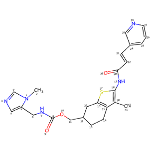 Cn1cncc1CNC(=O)OCC1CCc2c(sc(NC(=O)/C=C/c3cccnc3)c2C#N)C1